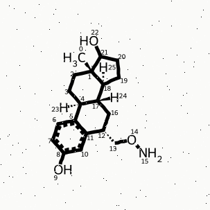 C[C@]12CC[C@@H]3c4ccc(O)cc4[C@@H](CON)C[C@H]3[C@@H]1CCC2O